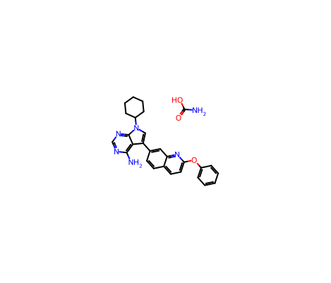 NC(=O)O.Nc1ncnc2c1c(-c1ccc3ccc(Oc4ccccc4)nc3c1)cn2C1CCCCC1